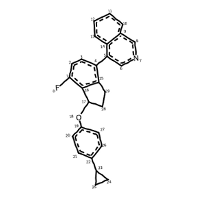 Fc1ccc(-c2cncc3ccccc23)c2c1C(Oc1ccc(C3CC3)cc1)CC2